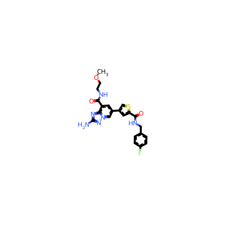 COCCNC(=O)c1cc(-c2csc(C(=O)NCc3ccc(F)cc3)c2)cn2nc(N)nc12